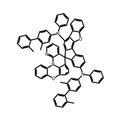 Cc1ccccc1-c1ccc(N(c2ccccc2)c2ccc3c(c2)C2(c4cccnc4N4c5ccccc5Oc5cccc2c54)c2cc(N(c4ccccc4)c4ccc(-c5ccccc5C)c(C)c4)c4c(oc5ccccc54)c2-3)cc1C